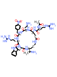 C=C(N)[C@@H]1CCCNC(=O)CC[C@H](NC(=O)[C@H](CCCNC(=N)N)NC(C)=O)C(=O)N[C@@H](CCN)C(=O)N[C@H](Cc2ccc([N+](=O)[O-])cc2)C(=O)N[C@@H](CCCNC(=N)N)C(=O)N[C@@H](Cc2c[nH]c3ccccc23)C(=O)N1